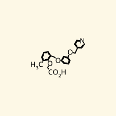 Cc1cccc(COc2cccc(OCc3ccncc3)c2)c1OCC(=O)O